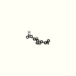 Cn1c2ccccc2c2cc(-c3ccc4c(c3)Oc3cccc5c3c-4cc3oc4cc(C6=CC7C8=C(C=CCC8)NC7C=C6)ccc4c35)ccc21